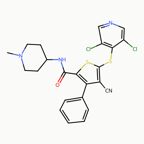 CN1CCC(NC(=O)c2sc(Sc3c(Cl)cncc3Cl)c(C#N)c2-c2ccccc2)CC1